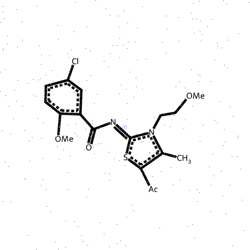 COCCn1c(C)c(C(C)=O)s/c1=N\C(=O)c1cc(Cl)ccc1OC